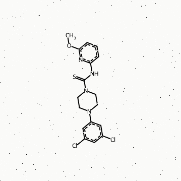 COc1cccc(NC(=S)N2CCN(c3cc(Cl)cc(Cl)c3)CC2)n1